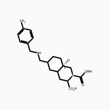 COC(=O)N1C[C@@H]2CCC(CNCc3ccc(C)cc3)CC2CC1C(=O)O